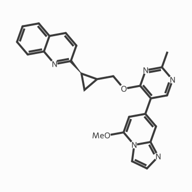 COc1cc(-c2cnc(C)nc2OCC2C[C@H]2c2ccc3ccccc3n2)cc2nccn12